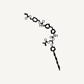 C=CC(=O)OCC1CCC(COC(=O)Nc2ccc(Cc3ccc(NC(=O)OC(COC(=O)C(=C)C)COc4ccc(C#CC#CC#CC#CC)cc4)cc3)cc2)CC1